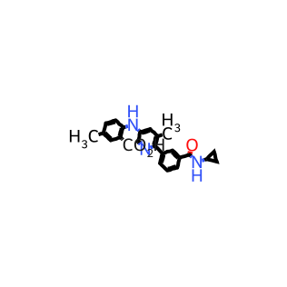 Cc1ccc(Nc2cnc(-c3cccc(C(=O)NC4CC4)c3)c(C)c2)c(C(=O)O)c1